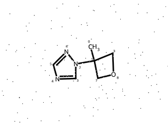 CC1(n2cncn2)COC1